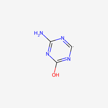 Nc1n[c]nc(O)n1